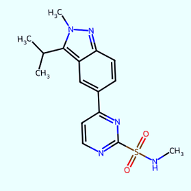 CNS(=O)(=O)c1nccc(-c2ccc3nn(C)c(C(C)C)c3c2)n1